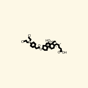 C[C@H](CCC(=O)O)[C@H]1CC[C@H]2[C@@H]3[C@H](O)CC4C[C@H](OC(=O)Cc5ccc(N(CCCl)CCCl)cc5)CC[C@]4(C)[C@H]3CC[C@]12C